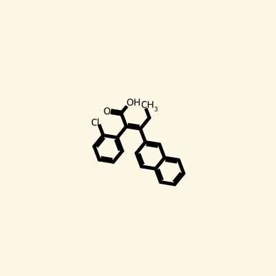 CC/C(=C(\C(=O)O)c1ccccc1Cl)c1ccc2ccccc2c1